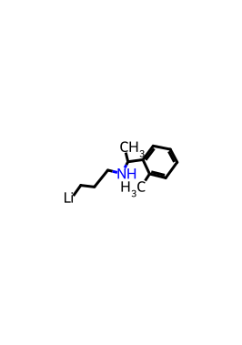 [Li][CH2]CCNC(C)c1ccccc1C